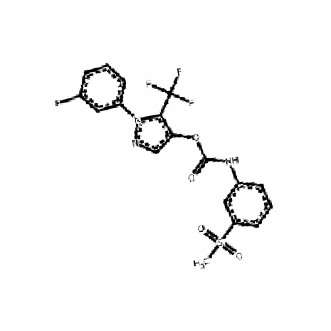 CS(=O)(=O)c1cccc(NC(=O)Oc2cnn(-c3cccc(F)c3)c2C(F)(F)F)c1